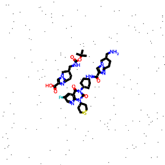 CC(C)(C)OC(=O)NCC1CCc2nc(C(=O)O)cn2C1.NCC1CCc2nc(C(=O)NC3CCC(n4c(=O)c5cc(F)cnc5n(C5CCSCC5)c4=O)CC3)cn2C1